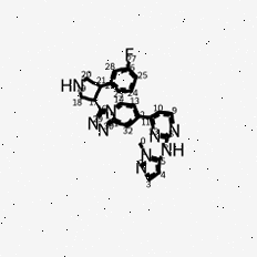 Cn1nccc1Nc1nccc(-c2ccn3c([C@H]4CNCC4c4cccc(F)c4)nnc3c2)n1